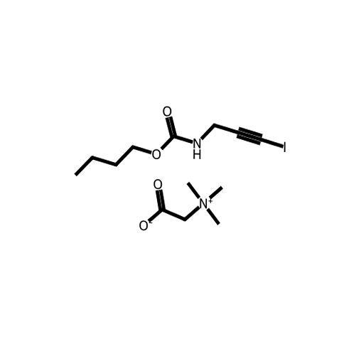 CCCCOC(=O)NCC#CI.C[N+](C)(C)CC(=O)[O-]